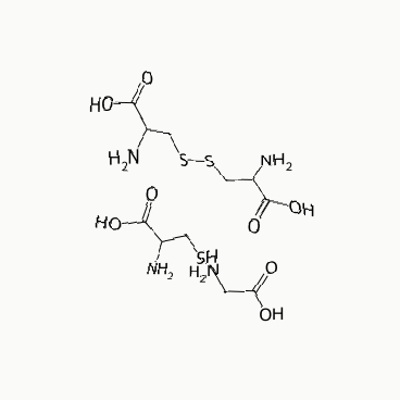 NC(CS)C(=O)O.NC(CSSCC(N)C(=O)O)C(=O)O.NCC(=O)O